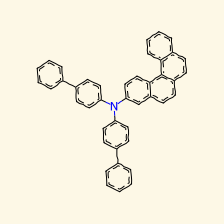 c1ccc(-c2ccc(N(c3ccc(-c4ccccc4)cc3)c3ccc4c(ccc5ccc6ccccc6c54)c3)cc2)cc1